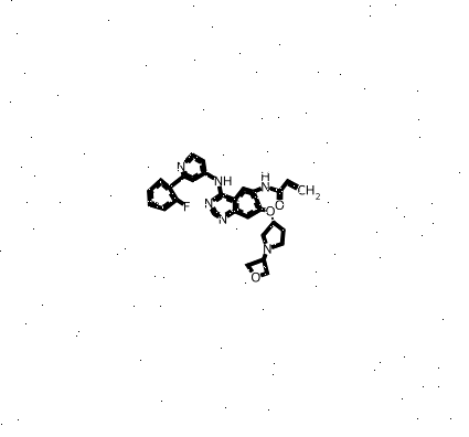 C=CC(=O)Nc1cc2c(Nc3ccnc(-c4ccccc4F)c3)ncnc2cc1O[C@@H]1CCN(C2COC2)C1